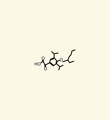 CCCCC(CC)COc1c(C(C)C)cc(C(=O)C(=O)O)cc1C(C)C